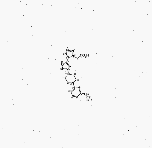 O=C(O)Cn1nnnc1-c1cc(N2CCN(c3cccc(OC(F)(F)F)c3)CC2)no1